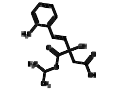 Cc1ccccc1/C=C/C(O)(CC(=O)O)C(=O)OC(C)C